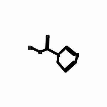 CCOC(=O)N1C=NC=CC1